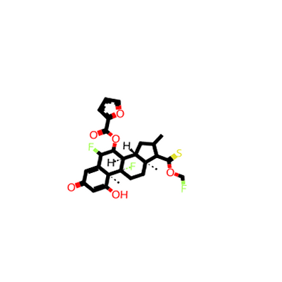 CC1C[C@H]2[C@@H]3C(OC(=O)c4ccco4)C(F)C4=CC(=O)C=C(O)[C@]4(C)[C@]3(F)CC[C@]2(C)C1C(=S)OCF